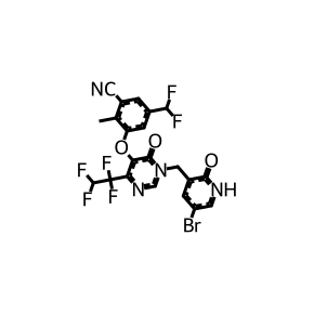 Cc1c(C#N)cc(C(F)F)cc1Oc1c(C(F)(F)C(F)F)ncn(Cc2cc(Br)c[nH]c2=O)c1=O